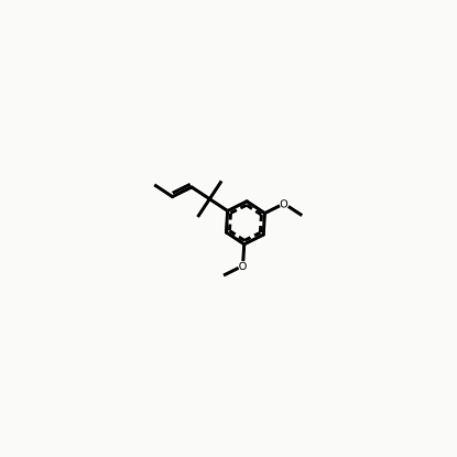 C/C=C/C(C)(C)c1cc(OC)cc(OC)c1